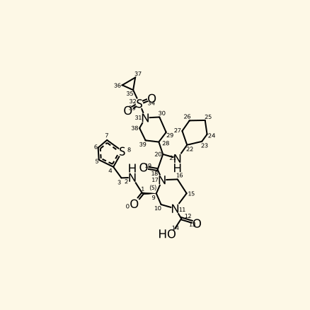 O=C(NCc1cccs1)[C@@H]1CN(C(=O)O)CCN1C(=O)C(NC1CCCCC1)C1CCN(S(=O)(=O)C2CC2)CC1